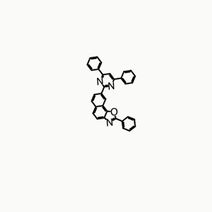 c1ccc(-c2cc(-c3ccccc3)nc(-c3ccc4ccc5nc(-c6ccccc6)oc5c4c3)n2)cc1